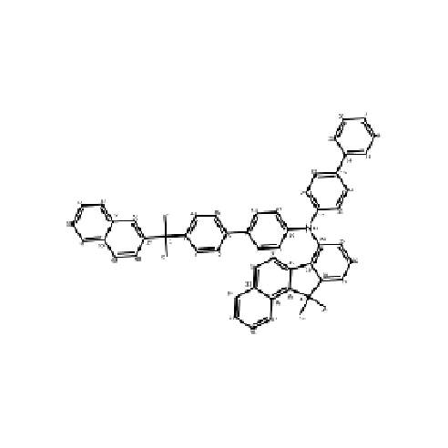 CC(C)(c1ccc(-c2ccc(N(c3ccc(-c4ccccc4)cc3)c3cccc4c3-c3ccc5ccccc5c3C4(C)C)cc2)cc1)c1ccc2ccccc2c1